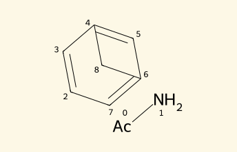 CC(N)=O.c1cc2cc(c1)C2